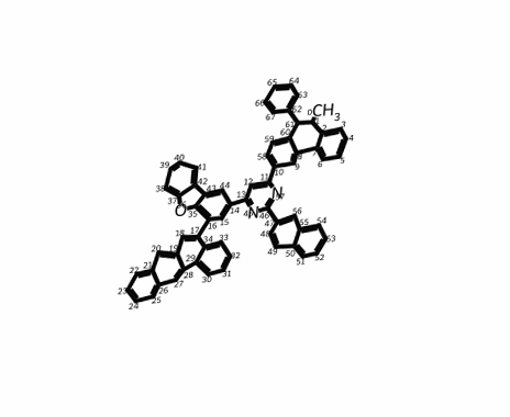 CC1c2ccccc2-c2cc(-c3cc(-c4cc(-c5cc6cc7ccccc7cc6c6ccccc56)c5oc6ccccc6c5c4)nc(-c4ccc5ccccc5c4)n3)ccc2C1c1ccccc1